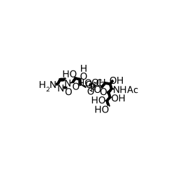 CC(=O)N[C@@H]1C(O)C[C@@](OP(=O)(O)OC[C@H]2O[C@@H](n3ccc(N)nc3=O)[C@H](O)[C@@H]2O)(C(=O)O)OC1[C@H](O)[C@H](O)CO